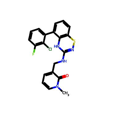 Cn1cccc(CNC2=NSc3cccc(-c4cccc(F)c4Cl)c3N2)c1=O